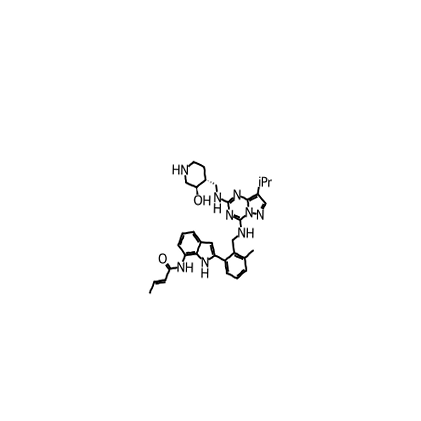 C/C=C/C(=O)Nc1cccc2cc(-c3cccc(C)c3CNc3nc(NC[C@H]4CCNC[C@@H]4O)nc4c(C(C)C)cnn34)[nH]c12